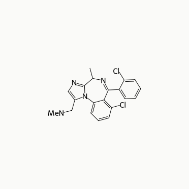 CNCc1cnc2n1-c1cccc(Cl)c1C(c1ccccc1Cl)=NC2C